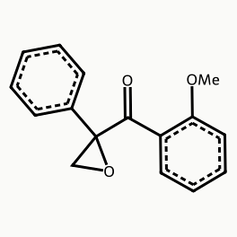 COc1ccccc1C(=O)C1(c2ccccc2)CO1